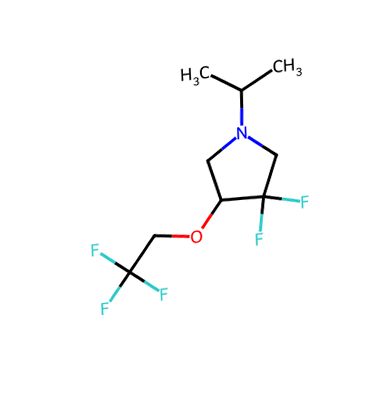 CC(C)N1CC(OCC(F)(F)F)C(F)(F)C1